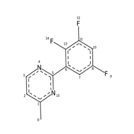 Cc1ccnc(-c2cc(F)cc(F)c2F)n1